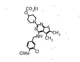 CCOC(=O)OC1CCN(c2nc(NCc3ccc(OC)c(Cl)c3)c3c(C)c(C)sc3n2)CC1